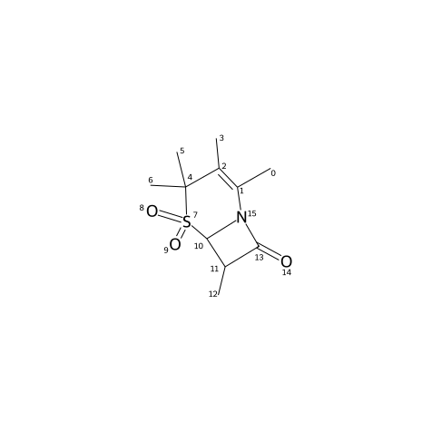 CC1=C(C)C(C)(C)S(=O)(=O)C2C(C)C(=O)N12